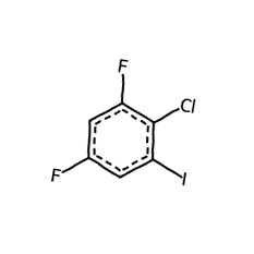 Fc1cc(F)c(Cl)c(I)c1